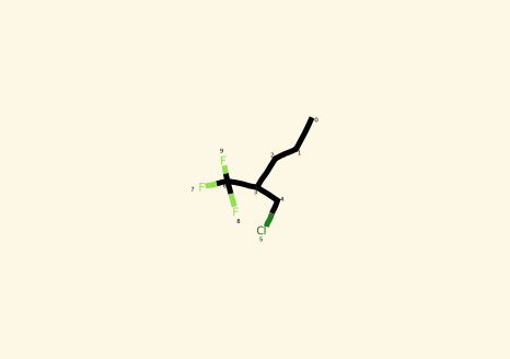 CCCC(CCl)C(F)(F)F